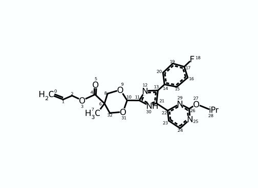 C=CCOC(=O)C1(C)COC(c2nc(-c3ccc(F)cc3)c(-c3ccnc(OC(C)C)n3)[nH]2)OC1